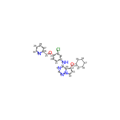 Clc1cc(Nc2ncnn3ccc(OC4CCCCC4)c23)ccc1OCc1ccccn1